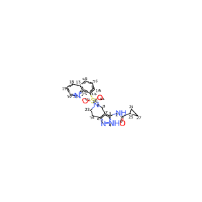 O=C(Nc1[nH]nc2c1CN(S(=O)(=O)c1cccc3cccnc13)CC2)C1CC1